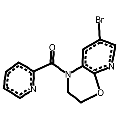 O=C(c1ccccn1)N1CCOc2ncc(Br)cc21